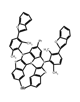 Cc1ccc(-c2cc3ccccc3o2)c(C)c1N1c2cc(C(C)C)cc3c2B(c2c1sc1ccc(C(C)(C)C)cc21)c1c(sc2ccc(C(C)(C)C)cc12)N3c1c(C)ccc(-c2cc3ccccc3o2)c1C